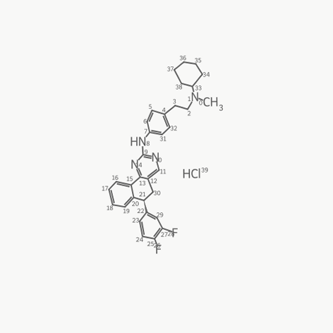 CN(CCc1ccc(Nc2ncc3c(n2)-c2ccccc2[C@H](c2ccc(F)c(F)c2)C3)cc1)C1CCCCC1.Cl